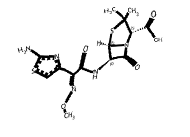 CON=C(C(=O)N[C@@H]1C(=O)N2[C@@H]1SC(C)(C)[C@@H]2C(=O)O)c1csc(N)n1